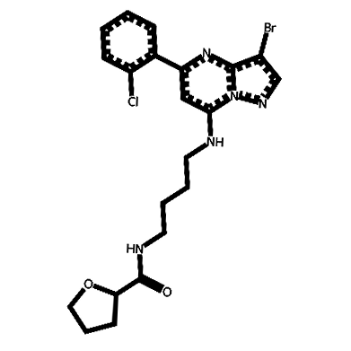 O=C(NCCCCNc1cc(-c2ccccc2Cl)nc2c(Br)cnn12)C1CCCO1